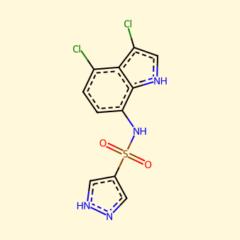 O=S(=O)(Nc1ccc(Cl)c2c(Cl)c[nH]c12)c1cn[nH]c1